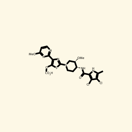 COc1ccnc(-c2nc(N3CC[C@@H](NC(=O)c4[nH]c(C)c(Cl)c4Cl)[C@@H](OC)C3)sc2OC(=O)O)n1